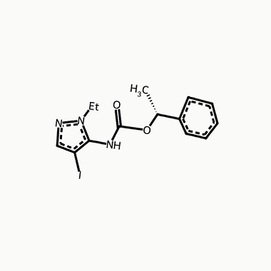 CCn1ncc(I)c1NC(=O)O[C@H](C)c1ccccc1